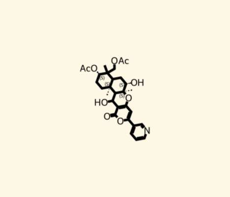 CC(=O)OCC1(C)C2C[C@H](O)[C@@]3(C)Oc4cc(-c5cccnc5)oc(=O)c4C(O)C3[C@@]2(C)CC[C@@H]1OC(C)=O